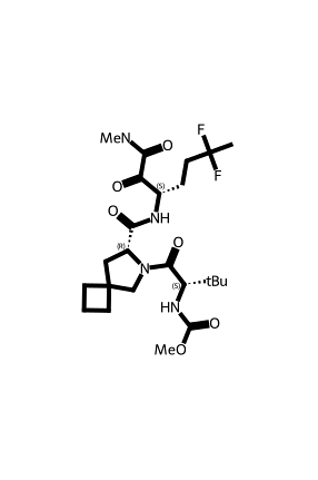 CNC(=O)C(=O)[C@H](CCC(C)(F)F)NC(=O)[C@H]1CC2(CCC2)CN1C(=O)[C@@H](NC(=O)OC)C(C)(C)C